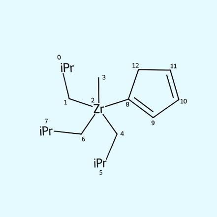 CC(C)[CH2][Zr]([CH3])([CH2]C(C)C)([CH2]C(C)C)[C]1=CC=CC1